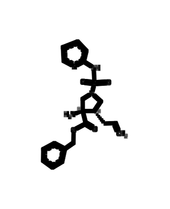 C=CC[C@H]1CN(S(=O)(=O)Nc2ccccn2)C[C@@]1(N)C(=O)OCc1ccccc1